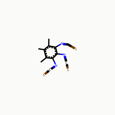 Cc1c(C)c(N=C=S)c(N=C=S)c(N=C=S)c1C